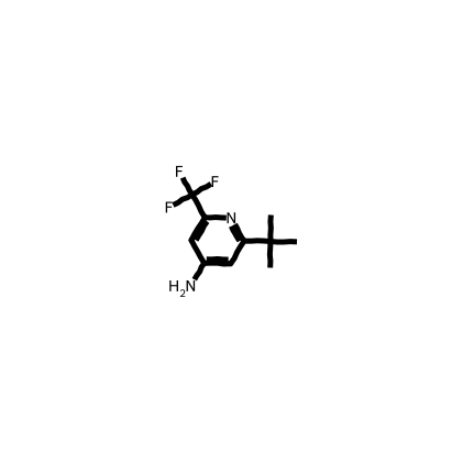 CC(C)(C)c1cc(N)cc(C(F)(F)F)n1